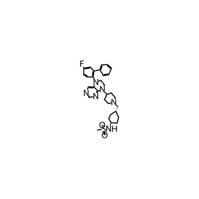 CS(=O)(=O)N[C@H]1CC[C@H](CN2CCC(N3CCN(c4ccc(F)cc4-c4ccccc4)c4cncnc43)CC2)CC1